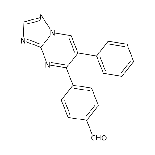 O=Cc1ccc(-c2nc3ncnn3cc2-c2ccccc2)cc1